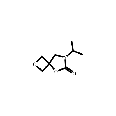 CC(C)N1CC2(COC2)OC1=O